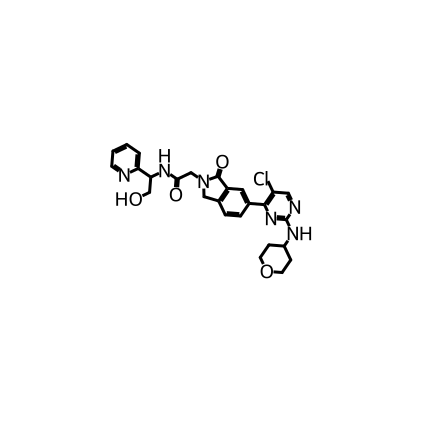 O=C(CN1Cc2ccc(-c3nc(NC4CCOCC4)ncc3Cl)cc2C1=O)NC(CO)c1ccccn1